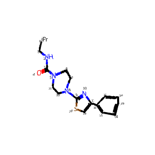 CC(C)CNC(=O)N1CCN(c2nc(-c3ccccc3)cs2)CC1